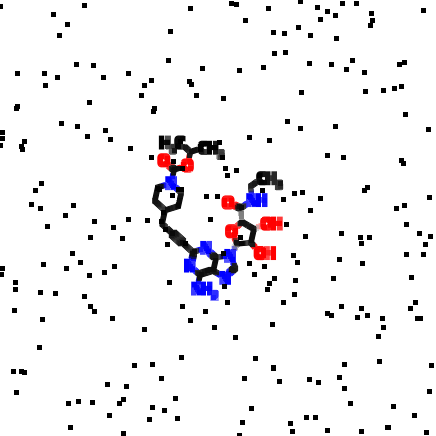 CCNC(=O)[C@H]1O[C@@H](n2cnc3c(N)nc(C#CCC4CCN(C(=O)OC(C)C)CC4)nc32)C(O)[C@H]1O